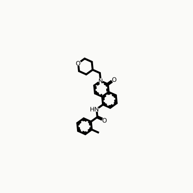 Cc1ccccc1C(=O)Nc1cccc2c(=O)n(CC3CCOCC3)ccc12